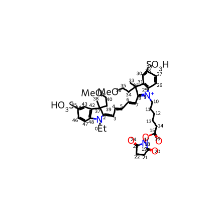 CCN1/C(=C/C=C/C=C/C2=[N+](CCCCCC(=O)ON3C(=O)CCC3=O)c3ccc(S(=O)(=O)O)cc3C2(C)CCOC)C(C)(CCOC)c2cc(S(=O)(=O)O)ccc21